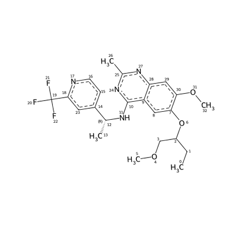 CCC(COC)Oc1cc2c(N[C@H](C)c3ccnc(C(F)(F)F)c3)nc(C)nc2cc1OC